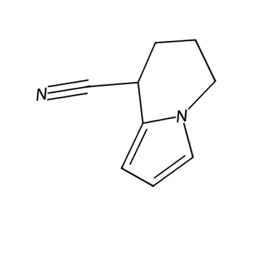 N#CC1CCCn2cccc21